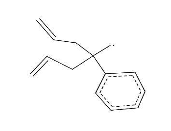 [CH2]C(CC=C)(CC=C)c1ccccc1